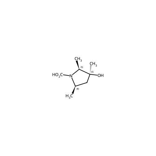 C[C@@H]1C[C@](C)(O)[C@H](C)N1C(=O)O